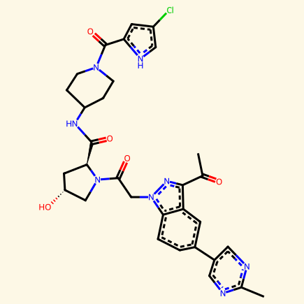 CC(=O)c1nn(CC(=O)N2C[C@H](O)C[C@H]2C(=O)NC2CCN(C(=O)c3cc(Cl)c[nH]3)CC2)c2ccc(-c3cnc(C)nc3)cc12